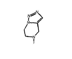 IN1CCn2nncc2C1